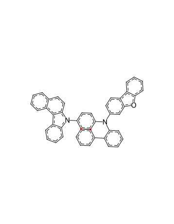 c1ccc(-c2ccccc2N(c2ccc(-n3c4ccccc4c4c5ccccc5ccc43)cc2)c2ccc3c(c2)oc2ccccc23)cc1